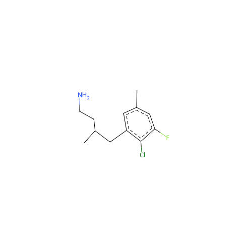 Cc1cc(F)c(Cl)c(CC(C)CCN)c1